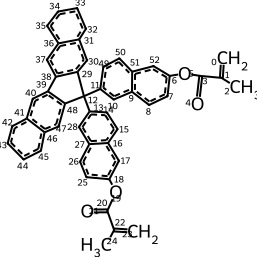 C=C(C)C(=O)Oc1ccc2cc(C3(c4ccc5cc(OC(=O)C(=C)C)ccc5c4)c4cc5ccccc5cc4-c4cc5ccccc5cc43)ccc2c1